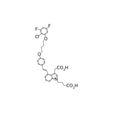 O=C(O)CCCn1cc(CC(=O)O)c2c(C=Cc3ccc(OCCCCOc4cc(F)cc(F)c4Cl)cc3)cccc21